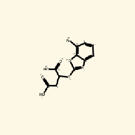 O=C(O)CC(Sc1nc2cccc(Br)c2o1)C(=O)O